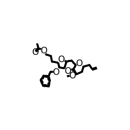 C=CCC1CCC2(OC)OC3C(CC2O1)OC(CCCOC(C)=O)C3OCc1ccccc1